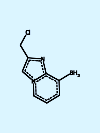 Bc1cccn2cc(CCl)nc12